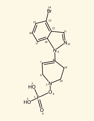 O=P(O)(O)ON1CC=C(n2ncc3c(Br)cccc32)CC1